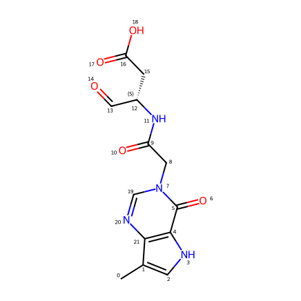 Cc1c[nH]c2c(=O)n(CC(=O)N[C@H](C=O)CC(=O)O)cnc12